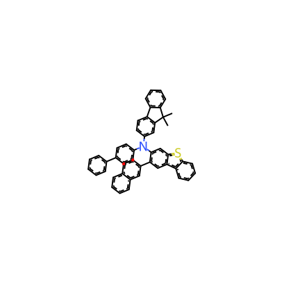 CC1(C)c2ccccc2-c2ccc(N(c3ccc(-c4ccccc4)cc3)c3cc4sc5ccccc5c4cc3-c3ccc4ccccc4c3)cc21